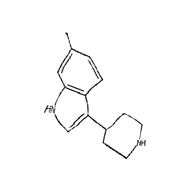 Cc1ccc2c(C3CCNCC3)c[nH]c2c1